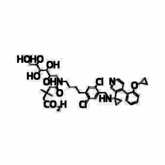 CC(C)(CC(=O)O)CC(=O)N(CCCCc1cc(Cl)c(CNC2(c3cnccc3-c3ccccc3OC3CC3)CC2)cc1Cl)CC(O)C(O)C(O)C(O)CO